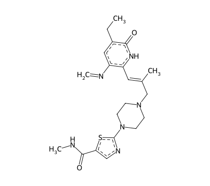 C=Nc1cc(CC)c(=O)[nH]c1/C=C(\C)CN1CCN(c2ncc(C(=O)NC)s2)CC1